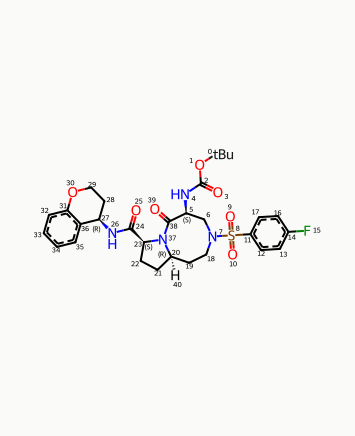 CC(C)(C)OC(=O)N[C@H]1CN(S(=O)(=O)c2ccc(F)cc2)CC[C@H]2CC[C@@H](C(=O)N[C@@H]3CCOc4ccccc43)N2C1=O